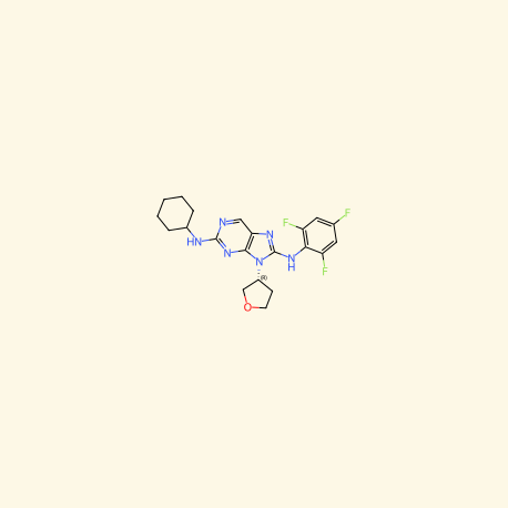 Fc1cc(F)c(Nc2nc3cnc(NC4CCCCC4)nc3n2[C@@H]2CCOC2)c(F)c1